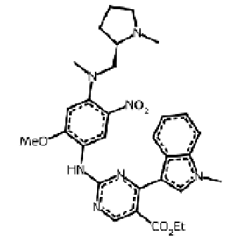 CCOC(=O)c1cnc(Nc2cc([N+](=O)[O-])c(N(C)C[C@H]3CCCN3C)cc2OC)nc1-c1cn(C)c2ccccc12